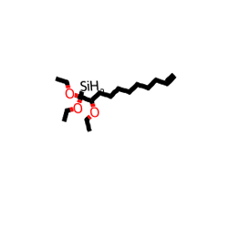 C=CCCCCCCCC(OCC)C([SiH3])(OCC)OCC